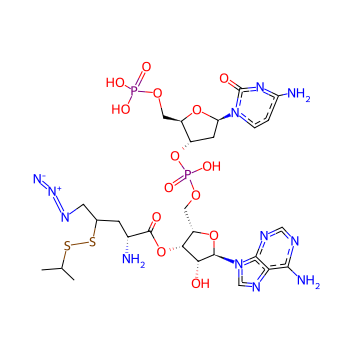 CC(C)SSC(CN=[N+]=[N-])C[C@@H](N)C(=O)O[C@H]1[C@@H](O)[C@H](n2cnc3c(N)ncnc32)O[C@H]1COP(=O)(O)O[C@H]1C[C@H](n2ccc(N)nc2=O)O[C@@H]1COP(=O)(O)O